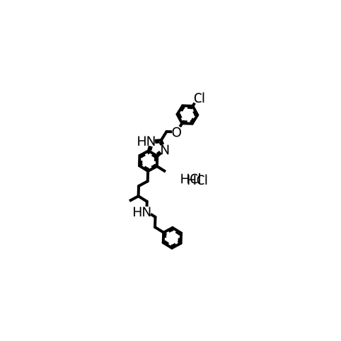 Cc1c(CCC(C)CNCCc2ccccc2)ccc2[nH]c(COc3ccc(Cl)cc3)nc12.Cl.Cl